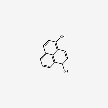 Oc1ccc2cccc3c2c1C=CC3O